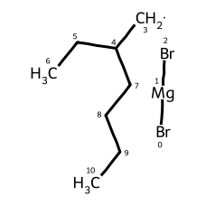 [Br][Mg][Br].[CH2]C(CC)CCCC